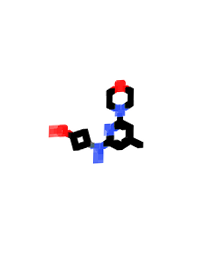 Cc1cc(N[C@H]2C[C@H](O)C2)nc(N2CCOCC2)c1